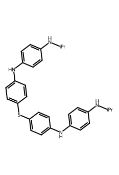 CC(C)Nc1ccc(Nc2ccc(Sc3ccc(Nc4ccc(NC(C)C)cc4)cc3)cc2)cc1